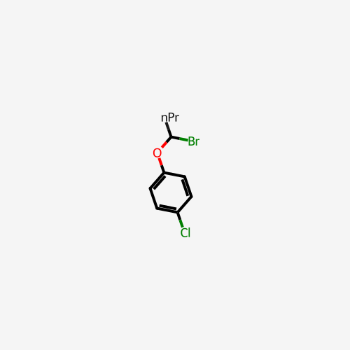 CCCC(Br)Oc1ccc(Cl)cc1